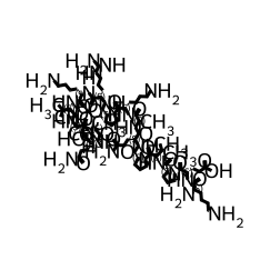 CC(C)[C@H](NC(=O)[C@H](CCCCN)NC(=O)[C@H](CCCNC(=N)N)NC(=O)[C@@H]1CCCN1C(=O)[C@H](CCCCN)NC(=O)[C@H](C)NC(=O)[C@H](CCC(N)=O)NC(=O)[C@@H]1CCCN1C(=O)[C@@H](NC(=O)[C@@H]1CCCN1C(=O)[C@H](CCC(=O)O)NC(=O)[C@@H](N)CCCCN)C(C)C)C(=O)N[C@@H](C)C(=O)N[C@@H](C)C(=O)N[C@@H](CCC(N)=O)C(=O)O